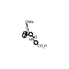 COCCOCOc1ccc(C(=O)Nc2ccc(C(=O)O)cc2)cc1C12CC3CC(CC(C3)C1)C2